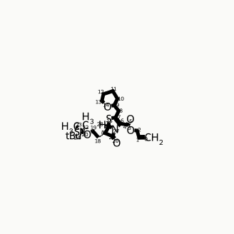 C=CCOC(=O)C1=C(CC2CCCCO2)S[C@@H]2[C@@H](CCO[Si](C)(C)C(C)(C)C)C(=O)N12